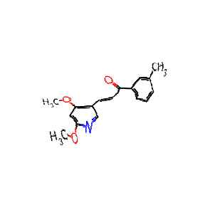 COc1cc(OC)c(/C=C/C(=O)c2cccc(C)c2)cn1